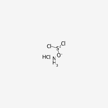 Cl.N.[O-][S+](Cl)Cl